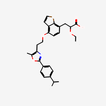 CCOC(Cc1ccc(OCCc2nc(-c3ccc(C(C)C)cc3)oc2C)c2ccsc12)C(=O)O